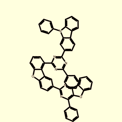 c1ccc(-c2nc(-c3ccc4c5ccccc5n(-c5ccccc5)c4c3)nc(-c3cccc4oc5ccc(-c6nc(-c7ccccc7)c7oc8ccccc8c7n6)cc5c34)n2)cc1